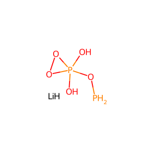 OP1(O)(OP)OO1.[LiH]